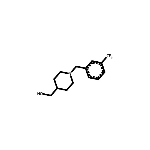 OCC1CCN(Cc2cccc(C(F)(F)F)c2)CC1